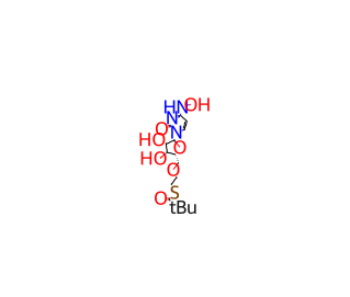 CC(C)(C)C(=O)SCCOC[C@H]1O[C@@H](n2ccc(NO)nc2=O)[C@H](O)[C@@H]1O